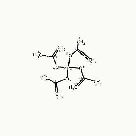 C=C(C)[O][Zr]([O]C(=C)C)([O]C(=C)C)[O]C(=C)C